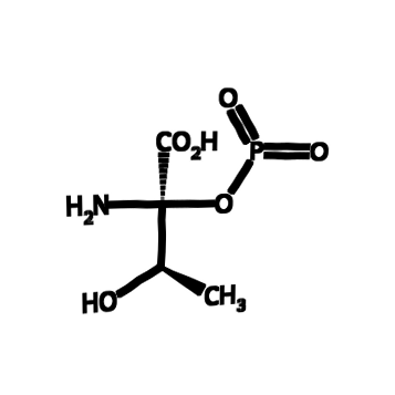 C[C@@H](O)[C@@](N)(OP(=O)=O)C(=O)O